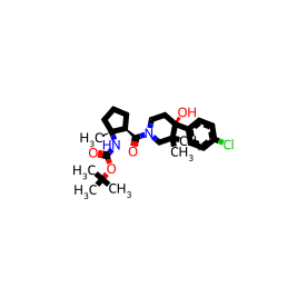 CC(C)(C)OC(=O)N[C@@]1(C)CCC[C@H]1C(=O)N1CC[C@](O)(c2ccc(Cl)cc2)C(C)(C)C1